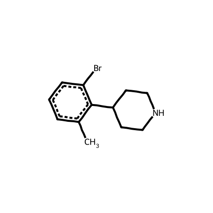 Cc1cccc(Br)c1C1CCNCC1